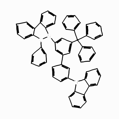 c1ccc(B2c3ccccc3-c3ccccc3N2c2cc(-c3cccc(-n4c5ccccc5c5ccccc54)c3)cc(C(c3ccccc3)(c3ccccc3)c3ccccc3)c2)cc1